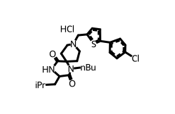 CCCCN1C(=O)C(CC(C)C)NC(=O)C12CCN(Cc1ccc(-c3ccc(Cl)cc3)s1)CC2.Cl